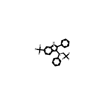 FC(F)(F)C[C@@H](c1ccccc1)c1c(-c2ccccc2)[nH]c2cc(C(F)(F)F)ccc12